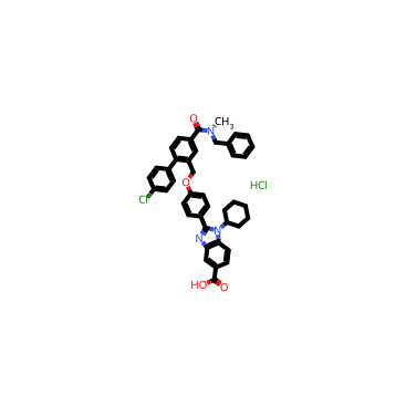 CN(Cc1ccccc1)C(=O)c1ccc(-c2ccc(Cl)cc2)c(COc2ccc(-c3nc4cc(C(=O)O)ccc4n3C3CCCCC3)cc2)c1.Cl